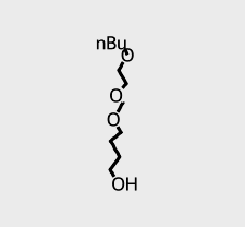 CCCCOCCOCOCCCCO